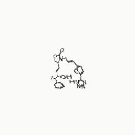 O=C1OCC(C=CC(O)C(F)c2ccccc2)N1CC=Cc1ccc(-c2nnn[nH]2)o1